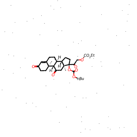 CCCCOC(=O)O[C@]1(C(=O)COC(=O)OCC)CC[C@H]2[C@@H]3CCC4=CC(=O)CC[C@]4(C)[C@H]3C(=O)C[C@@]21C